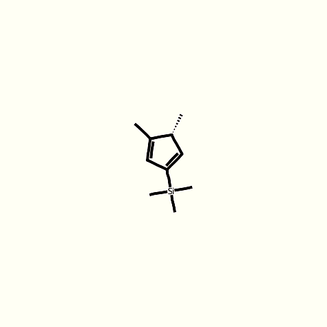 CC1=CC([Si](C)(C)C)=C[C@H]1C